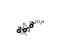 Cc1c(CNc2ccc3c(c2)OC[C@H]3CC(=O)O)cccc1-n1cnc2cccc(C)c21